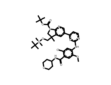 COc1cc(C(=O)NC2CCOCC2)c(Cl)cc1Nc1nccc(-c2cnc3c(c2)C(C)(CO[Si](C)(C)C(C)(C)C)CN3C(=O)OC(C)(C)C)n1